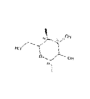 C[C@@H]1OC(CO)[C@@H](C)[C@H](O)C1O